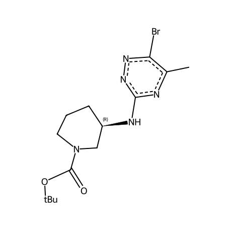 Cc1nc(N[C@@H]2CCCN(C(=O)OC(C)(C)C)C2)nnc1Br